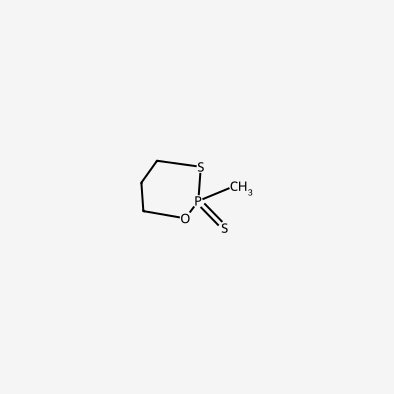 CP1(=S)OCCCS1